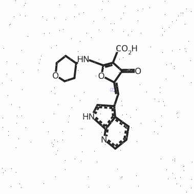 O=C(O)C1=C(NC2CCOCC2)O/C(=C\c2c[nH]c3ncccc23)C1=O